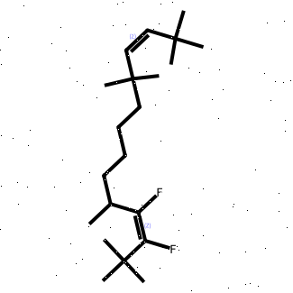 CC(CCCCC(C)(C)/C=C\C(C)(C)C)/C(F)=C(/F)C(C)(C)C